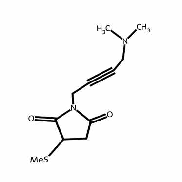 CSC1CC(=O)N(CC#CCN(C)C)C1=O